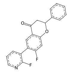 O=C1CC(c2ccccc2)Oc2cc(F)c(-c3cccnc3F)cc21